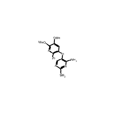 COc1cc(Oc2cnc(N)nc2N)c(C(C)C)nc1OC